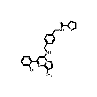 Cc1cnn2c(NCc3ccc(CNC(=O)C4CCCO4)cc3)cc(-c3ccccc3O)nc12